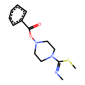 C/N=C(\SC)N1CCN(OC(=O)c2ccccc2)CC1